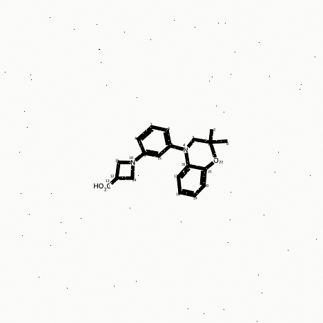 CC1(C)CN(c2cccc(N3CC(C(=O)O)C3)c2)c2ccccc2O1